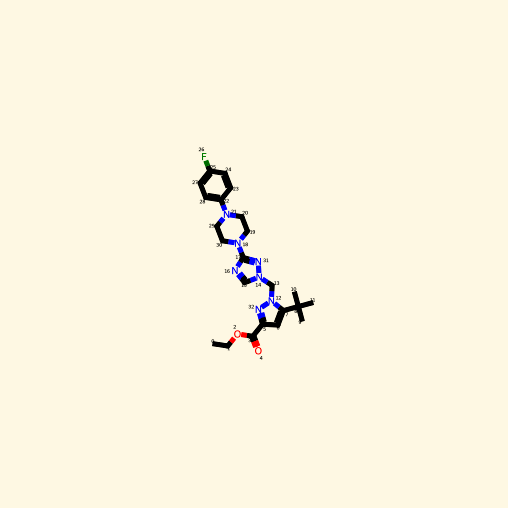 CCOC(=O)c1cc(C(C)(C)C)n(Cn2cnc(N3CCN(c4ccc(F)cc4)CC3)n2)n1